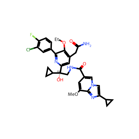 CCOc1c(CC(N)=O)cc([C@@](O)(CNC(=O)c2cc(OC)c3nc(C4CC4)cn3c2)C2CC2)nc1-c1ccc(F)c(Cl)c1